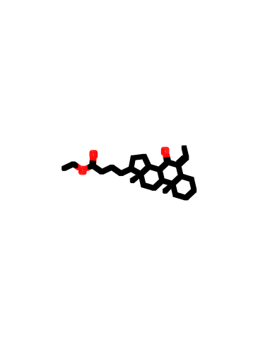 C/C=C1\C(=O)C2C(CC[C@]3(C)C(CCCC(=O)OCC)CCC23)[C@@]2(C)CCCCC12